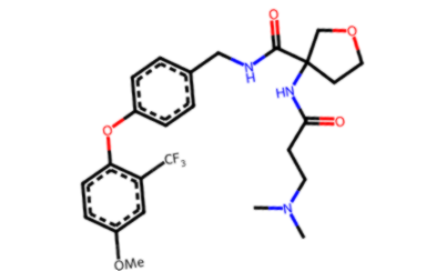 COc1ccc(Oc2ccc(CNC(=O)C3(NC(=O)CCN(C)C)CCOC3)cc2)c(C(F)(F)F)c1